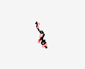 C=CC(=O)COCCCc1ccc2cc(-c3ccc(OC(=O)C=C)cc3)c(=O)oc2c1